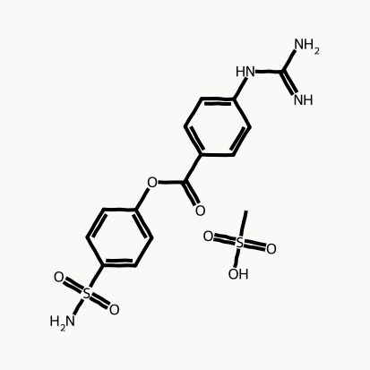 CS(=O)(=O)O.N=C(N)Nc1ccc(C(=O)Oc2ccc(S(N)(=O)=O)cc2)cc1